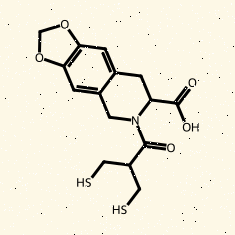 O=C(O)C1Cc2cc3c(cc2CN1C(=O)C(CS)CS)OCO3